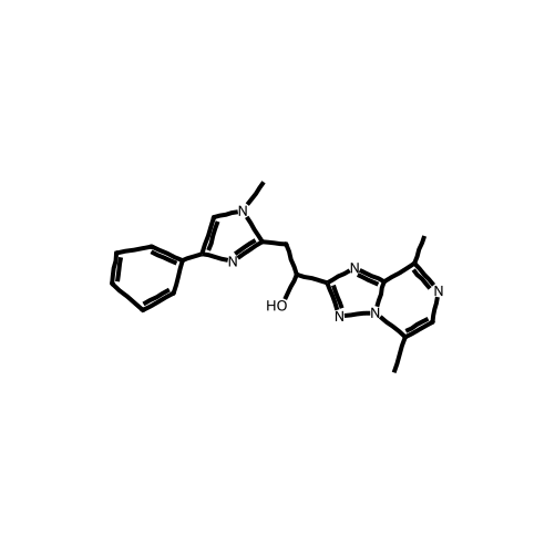 Cc1ncc(C)n2nc(C(O)Cc3nc(-c4ccccc4)cn3C)nc12